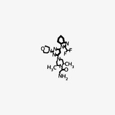 C[C@@H]1CN(c2cc(-n3c(C(F)F)nc4ccccc43)nc(N3CCOCC3)n2)C[C@H](C)N1C(=O)CN